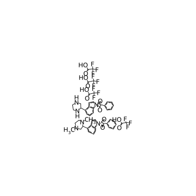 CN1CCN(C)C(c2cccc3c2ccn3S(=O)(=O)c2ccccc2)C1.O=C(O)C(F)(F)F.O=C(O)C(F)(F)F.O=C(O)C(F)(F)F.O=C(O)C(F)(F)F.O=S(=O)(c1ccccc1)n1ccc2c(C3CNCCN3)cccc21